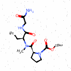 CC(C)C[C@@H](C(=O)NCC(N)=O)N(C)C(=O)[C@@H]1CCCN1C(=O)OC(C)(C)C